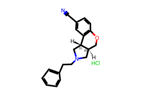 Cl.N#Cc1ccc2c(c1)[C@H]1CN(CCc3ccccc3)C[C@@H]1CO2